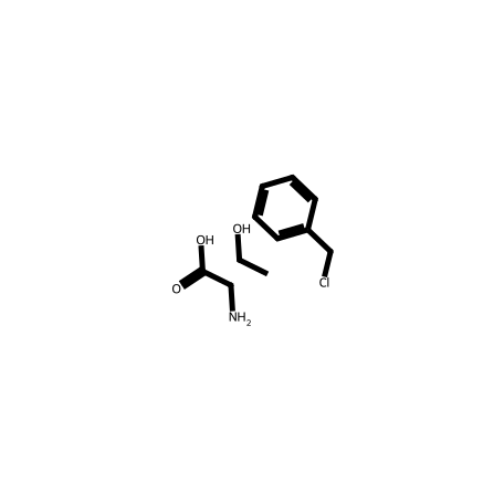 CCO.ClCc1ccccc1.NCC(=O)O